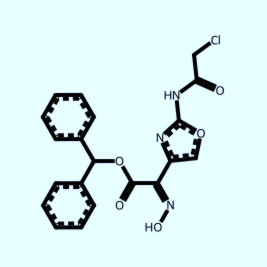 O=C(CCl)Nc1nc(/C(=N/O)C(=O)OC(c2ccccc2)c2ccccc2)co1